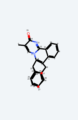 Cc1cn2c3c(c4ccccc4c2nc1=O)C1c2ccccc2C3c2ccccc21